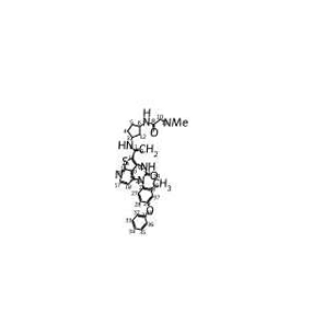 C=C(NC1CCC(NC(=O)CNC)C1)c1sc2nccc3c2c1NC(=O)N3c1ccc(Oc2ccccc2)cc1C